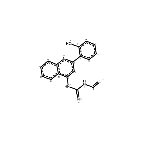 N=C(NC=O)Nc1cc(-c2ccccc2O)nc2ccccc12